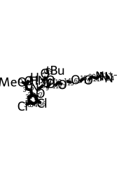 COC(=O)CC(NC(=O)[C@H](COCCOCCOCCOCCN=[N+]=[N-])NC(=O)OC(C)(C)C)c1cc(Cl)cc(Cl)c1